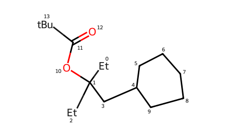 CCC(CC)(CC1CCCCC1)OC(=O)C(C)(C)C